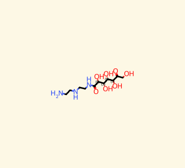 NCCNCCNC(=O)[C@@H](O)[C@@H](O)[C@H](O)[C@H](O)C(=O)CO